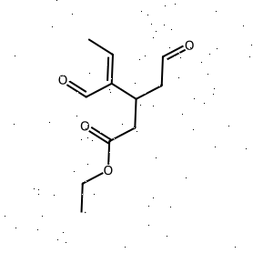 [CH2]COC(=O)CC(CC=O)C(C=O)=CC